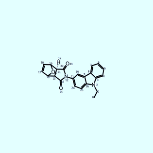 CCn1c2ccccc2c2cc(N3C(=O)C4C5C=CC(O5)[C@H]4C3=O)ccc21